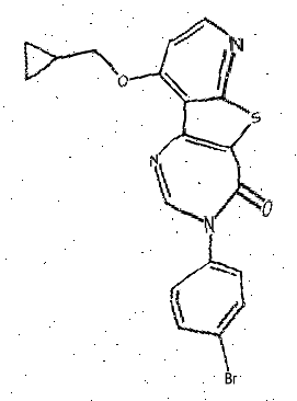 O=c1c2sc3nccc(OCC4CC4)c3c2ncn1-c1ccc(Br)cc1